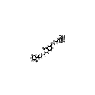 CC(C)(CCCCSc1ccc(CNCCCP(=O)(O)O)cc1Br)c1ccccc1F